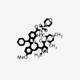 COc1ccc2c(c1)C=C(c1c(C(=O)N3[C@H](C)CN(C)C[C@@H]3C)cnn1C)Cn1c-2c(C2CCCCC2)c2ccc(C(=O)NS(=O)(=O)N3CCOCC3)cc21